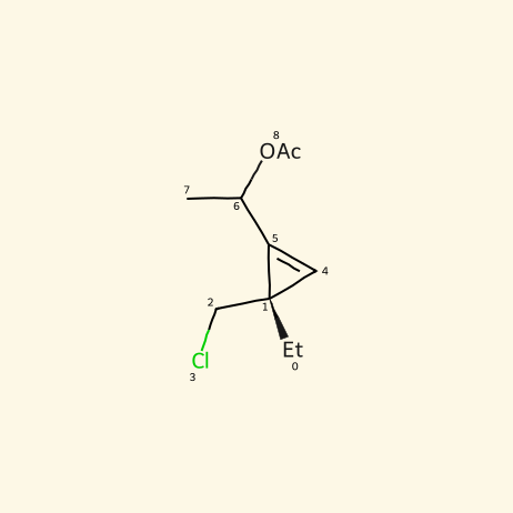 CC[C@]1(CCl)C=C1C(C)OC(C)=O